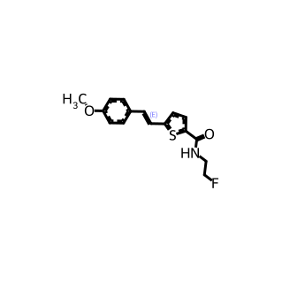 COc1ccc(/C=C/c2ccc(C(=O)NCCF)s2)cc1